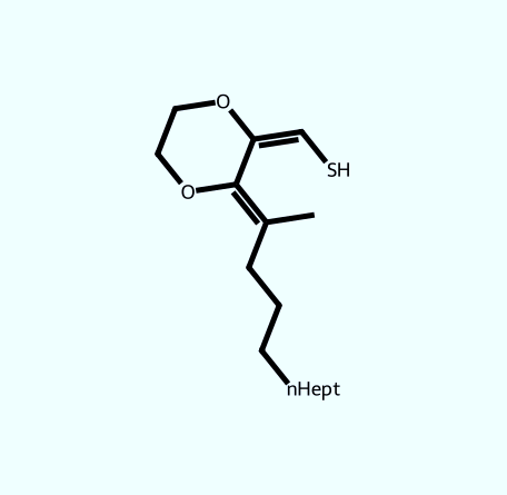 CCCCCCCCCC/C(C)=C1\OCCO\C1=C\S